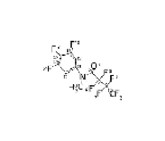 CN(C(=O)C(F)(F)C(F)(F)C(F)(F)F)c1cc(F)c(F)c(F)c1